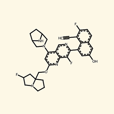 C#Cc1c(F)ccc2cc(O)cc(-c3ncc4c(N5CC6CCC(C5)N6)cc(OCC56CCCN5CC(F)C6)nc4c3F)c12